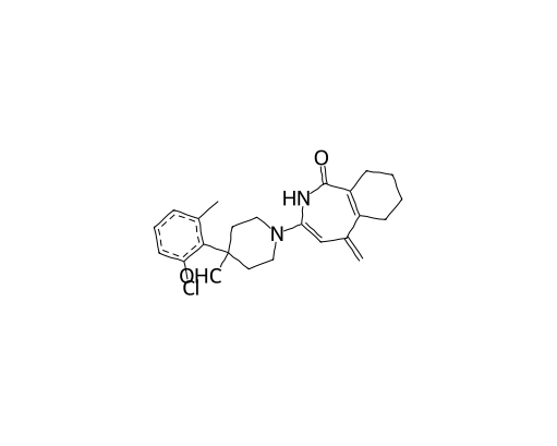 C=C1C=C(N2CCC(C=O)(c3c(C)cccc3Cl)CC2)NC(=O)C2=C1CCCC2